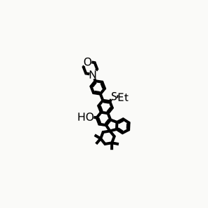 CCSc1cc2c3c(cc(O)c2cc1-c1ccc(N2CCOCC2)cc1)C1(CC(C)(C)CC(C)(C)C1)c1ccccc1-3